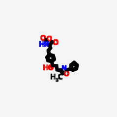 Cc1oc(-c2ccccc2)nc1CCC(O)c1ccc(CCC2NC(=O)OC2=O)cc1